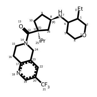 CCC1COCCC1N[C@@H]1CC[C@@](C(=O)N2CCc3ncc(C(F)(F)F)cc3C2)(C(C)C)C1